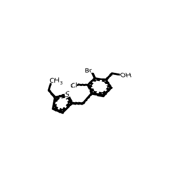 CCc1ccc(Cc2ccc(CO)c(Br)c2Cl)s1